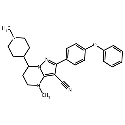 CN1CCC(C2CCN(C)c3c(C#N)c(-c4ccc(Oc5ccccc5)cc4)nn32)CC1